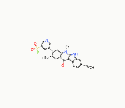 C#Cc1ccc2c(c1)[nH]c1c2c(=O)c2cc(CCCC)c(-c3cncc(S(=O)(=O)F)c3)cc2n1CC